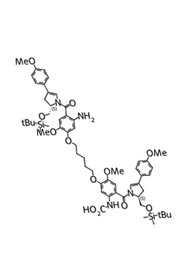 COc1ccc(C2=CN(C(=O)c3cc(OC)c(OCCCCCOc4cc(NC(=O)O)c(C(=O)N5C=C(c6ccc(OC)cc6)C[C@H]5CO[Si](C)(C)C(C)(C)C)cc4OC)cc3N)[C@H](CO[Si](C)(C)C(C)(C)C)C2)cc1